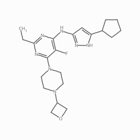 CCc1nc(Nc2cc(C3CCCC3)[nH]n2)c(F)c(N2CCN(C3COC3)CC2)n1